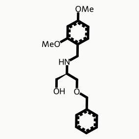 COc1ccc(CN[C@H](CO)COCc2ccccc2)c(OC)c1